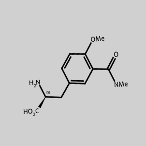 CNC(=O)c1cc(C[C@H](N)C(=O)O)ccc1OC